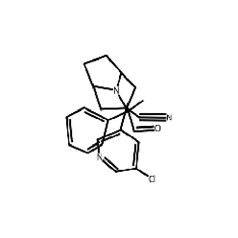 CC(C=O)(c1ccccc1)N1C2CCC1CC(C#N)(c1cncc(Cl)c1)C2